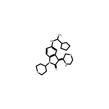 CC(Nc1ccc2c(c1)/C(=C1\COCCN1)C(=O)N2C1CCOCC1)C1CCCC1